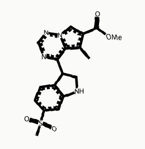 COC(=O)c1cn2ncnc(C3CNc4cc(S(C)(=O)=O)ccc43)c2c1C